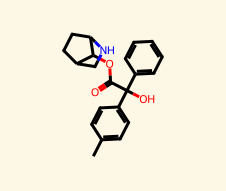 Cc1ccc(C(O)(C(=O)OC2C3CCC2NC3)c2ccccc2)cc1